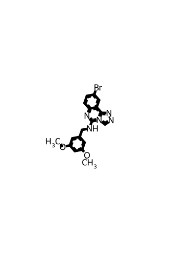 COc1cc(CNc2nc3ccc(Br)cc3c3nncn23)cc(OC)c1